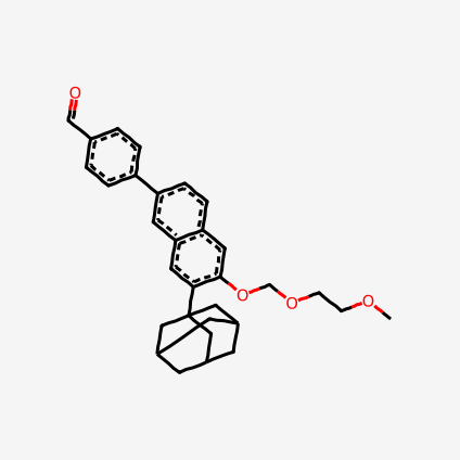 COCCOCOc1cc2ccc(-c3ccc(C=O)cc3)cc2cc1C12CC3CC(CC(C3)C1)C2